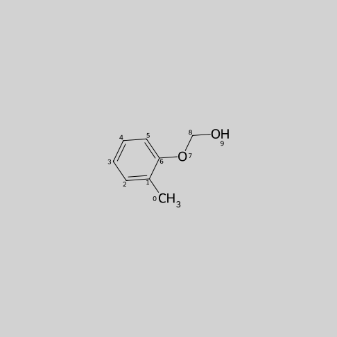 Cc1ccccc1OCO